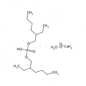 CCCCC(CC)COP(=O)(O)OCC(CC)CCCC.O.O.[CaH2]